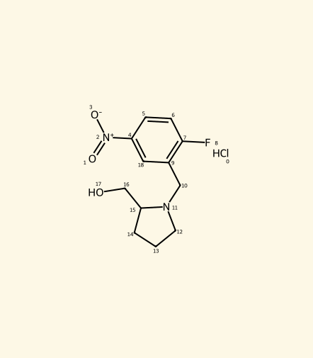 Cl.O=[N+]([O-])c1ccc(F)c(CN2CCCC2CO)c1